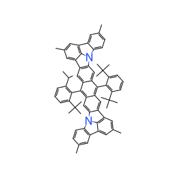 Cc1ccc2c(c1)c1cc(C)cc3c4cc5c(-c6c(C(C)(C)C)cccc6C(C)(C)C)c6cc7c(cc6c(-c6c(C(C)C)cccc6C(C)(C)C)c5cc4n2c13)c1cc(C)cc2c3cc(C)ccc3n7c21